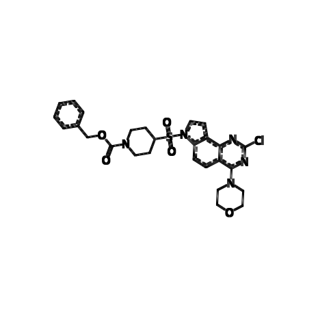 O=C(OCc1ccccc1)N1CCC(S(=O)(=O)n2ccc3c4nc(Cl)nc(N5CCOCC5)c4ccc32)CC1